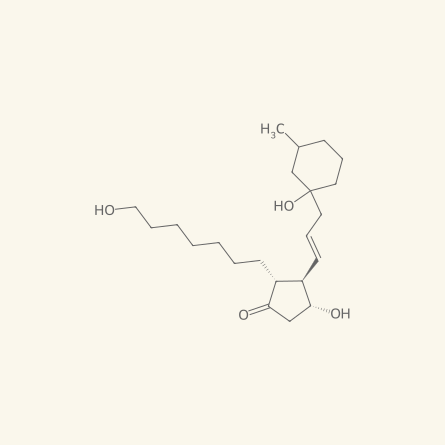 CC1CCCC(O)(C/C=C/[C@H]2[C@H](O)CC(=O)[C@@H]2CCCCCCCO)C1